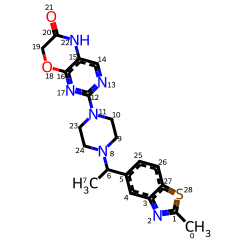 Cc1nc2cc(C(C)N3CCN(c4ncc5c(n4)OCC(=O)N5)CC3)ccc2s1